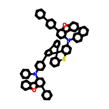 c1ccc(-c2ccc(-c3ccc(N(c4ccc5c(c4)C4(c6ccccc6S5)c5ccccc5-c5ccc(-c6ccc(N(c7ccccc7)c7ccc(-c8ccccc8)c8oc9ccccc9c78)cc6)cc54)c4ccc5ccccc5c4)c4c3oc3ccccc34)cc2)cc1